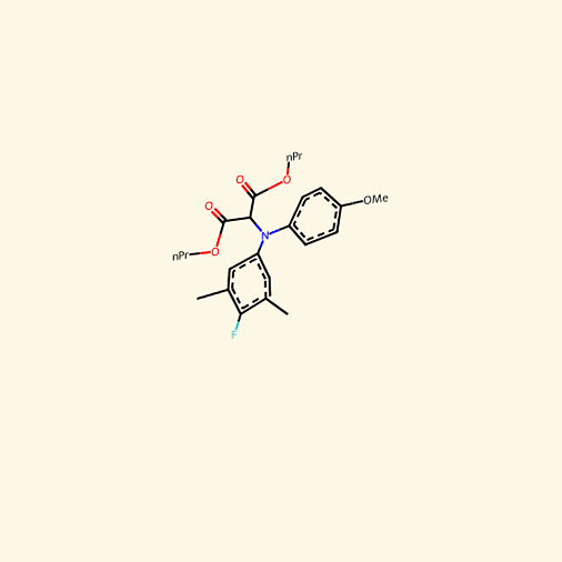 CCCOC(=O)C(C(=O)OCCC)N(c1ccc(OC)cc1)c1cc(C)c(F)c(C)c1